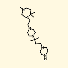 CN1CCN(CCN2CCN(C(C)(C)CCN3CCNCC3)CC2)C(C)(C)CC1